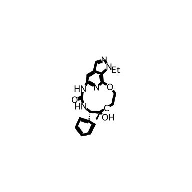 CCn1ncc2cc3nc(c21)OCCC[C@](C)(O)[C@H](c1ccccc1)NC(=O)N3